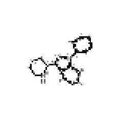 c1ccc(-n2nc(C3CNCCN3)c3ccccc32)cc1